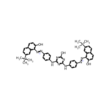 C[N+](C)(C)c1ccc2ccc(O)c(/N=N/c3ccc(Nc4nc(O)nc(Nc5ccc(/N=N/c6c(O)ccc7ccc([N+](C)(C)C)cc67)cc5)n4)cc3)c2c1